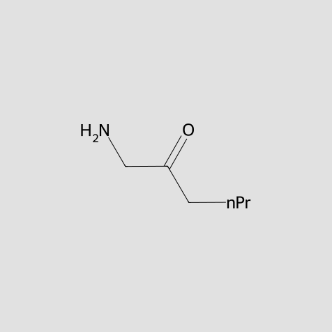 C[CH]CCC(=O)CN